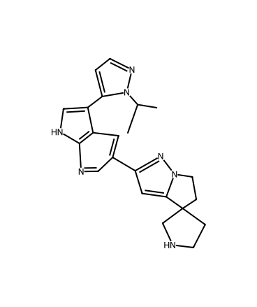 CC(C)n1nccc1-c1c[nH]c2ncc(-c3cc4n(n3)CCC43CCNC3)cc12